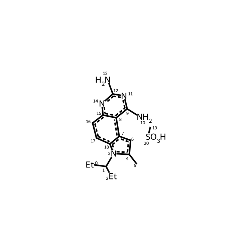 CCC(CC)n1c(C)cc2c3c(N)nc(N)nc3ccc21.CS(=O)(=O)O